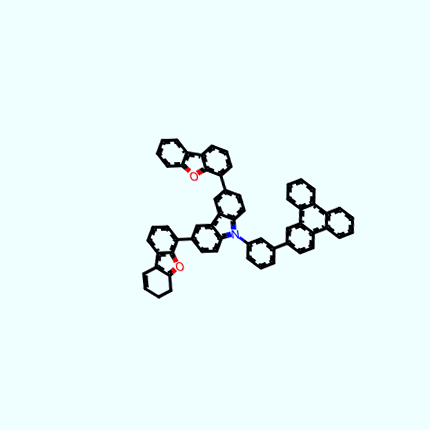 C1=Cc2c(oc3c(-c4ccc5c(c4)c4cc(-c6cccc7c6oc6ccccc67)ccc4n5-c4cccc(-c5ccc6c7ccccc7c7ccccc7c6c5)c4)cccc23)CC1